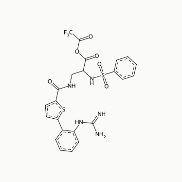 N=C(N)Nc1ccccc1-c1ccc(C(=O)NCC(NS(=O)(=O)c2ccccc2)C(=O)OC(=O)C(F)(F)F)s1